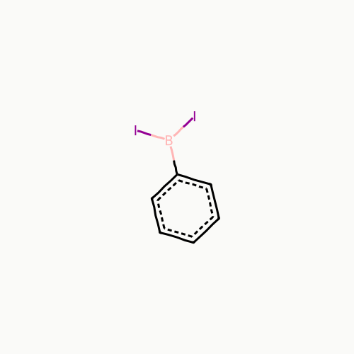 IB(I)c1ccccc1